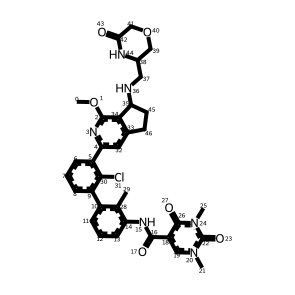 COc1nc(-c2cccc(-c3cccc(NC(=O)c4cn(C)c(=O)n(C)c4=O)c3C)c2Cl)cc2c1C(NCC1COCC(=O)N1)CC2